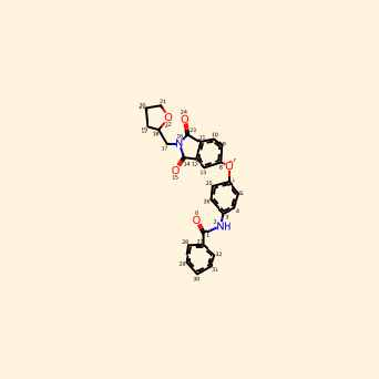 O=C(Nc1ccc(Oc2ccc3c(c2)C(=O)N(CC2CCCO2)C3=O)cc1)c1ccccc1